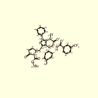 CCN1C(=O)[C@H](NC(=O)c2cccc(C(F)(F)F)c2)[C@H](c2ccc(F)cc2)c2c(C[C@@H]3C=CC(=O)N3C(=O)OC(C)(C)C)nn(-c3ccccc3)c21